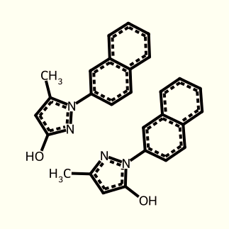 Cc1cc(O)n(-c2ccc3ccccc3c2)n1.Cc1cc(O)nn1-c1ccc2ccccc2c1